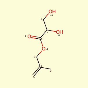 C=C(C)COC(=O)C(O)CO